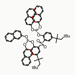 CC(C)(C)CC(C)(C)c1ccc(OP(Oc2ccc3ccccc3c2)Oc2ccc3ccccc3c2)c(S(=O)(=O)c2cc(C(C)(C)CC(C)(C)C)ccc2OP(Oc2ccc3ccccc3c2)Oc2ccc3ccccc3c2)c1